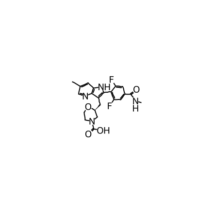 CNC(=O)c1cc(F)c(-c2[nH]c3cc(C)cnc3c2C[C@H]2CN(C(=O)O)CCO2)c(F)c1